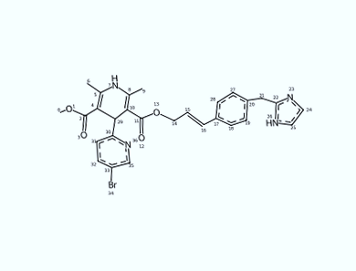 COC(=O)C1=C(C)NC(C)=C(C(=O)OCC=Cc2ccc(Cc3ncc[nH]3)cc2)C1c1ccc(Br)cn1